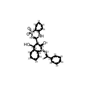 CC(=Nn1c(=O)c(C2=NS(=O)(=O)c3ccccc3N2)c(O)c2ccccc21)c1ccccc1